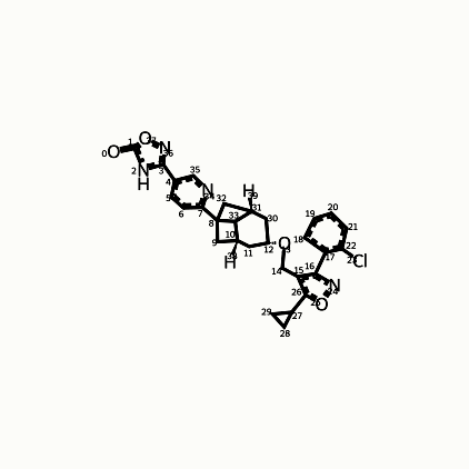 O=c1[nH]c(-c2ccc(C34C[C@H]5C[C@@H](OCc6c(-c7ccccc7Cl)noc6C6CC6)C[C@@H](C3)C54)nc2)no1